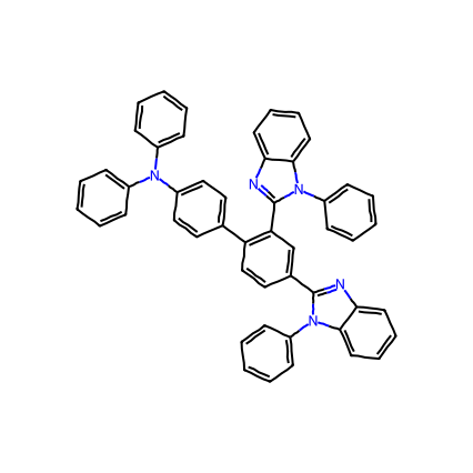 c1ccc(N(c2ccccc2)c2ccc(-c3ccc(-c4nc5ccccc5n4-c4ccccc4)cc3-c3nc4ccccc4n3-c3ccccc3)cc2)cc1